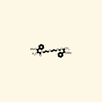 C=C(OCOCCCOCCCOC(=O)C(=C)C(OC)c1ccccc1)C(OC)c1ccccc1